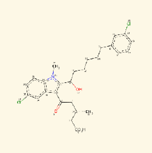 C[C@H](CC(=O)O)CC(=O)c1c(C(O)CCCCCc2cccc(Cl)c2)n(C)c2ccc(Cl)cc12